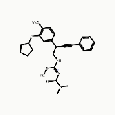 CCC(/N=C(\NC#N)NCC(C#Cc1ccccc1)c1ccc(OC)c(OC2CCCC2)c1)N(C)C